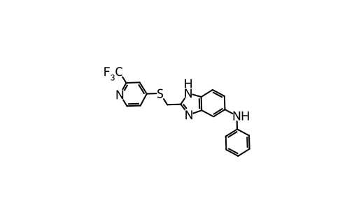 FC(F)(F)c1cc(SCc2nc3cc(Nc4ccccc4)ccc3[nH]2)ccn1